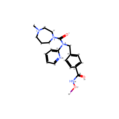 CN1CCCN(C(=O)N(Cc2ccc(C(=O)NOI)cc2)c2ccccn2)CC1